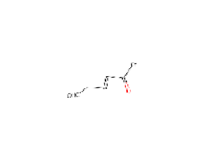 CCC(=O)C=CC[C]=O